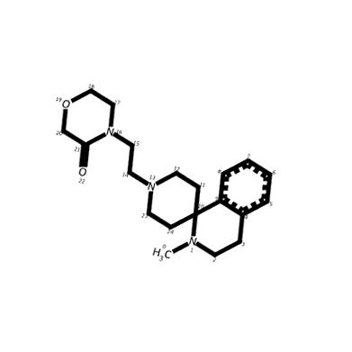 CN1CCc2ccccc2C12CCN(CCN1CCOCC1=O)CC2